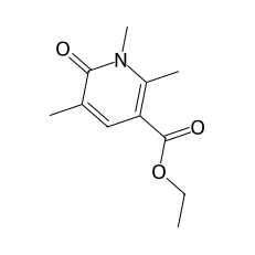 CCOC(=O)c1cc(C)c(=O)n(C)c1C